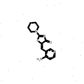 Nc1ccncc1/C=C1/SC(N2CCCCC2)=NC1=O